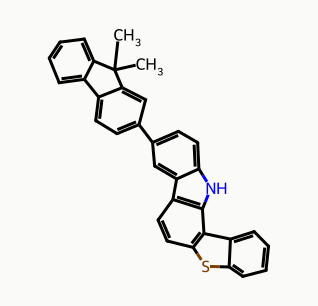 CC1(C)c2ccccc2-c2ccc(-c3ccc4[nH]c5c(ccc6sc7ccccc7c65)c4c3)cc21